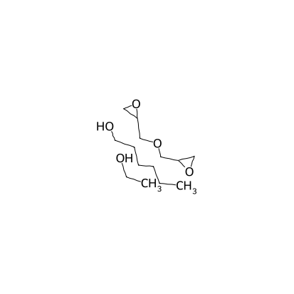 C(OCC1CO1)C1CO1.CCCCCCO.CCO